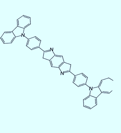 C1=CCC=c2c(c3ccccc3n2-c2ccc(C3=Nc4cc5c(cc4C3)N=C(c3ccc(-n4c6ccccc6c6ccccc64)cc3)C5)cc2)=C1